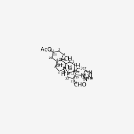 CC(=O)O[C@H]1CC[C@@]2(C)C(=CC[C@@H]3[C@@H]2CC[C@]2(C)C(n4cnnn4)=C(C=O)C[C@@H]32)C1